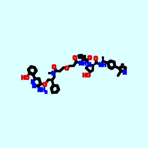 Cc1ncsc1-c1ccc([C@H](C)NC(=O)[C@@H]2C[C@@H](O)CN2C(=O)[C@@H](NC(=O)CCOCCC(=O)N(C)CC(COc2cc(-c3ccccc3O)nnc2N)c2ccccc2)C(C)(C)C)cc1